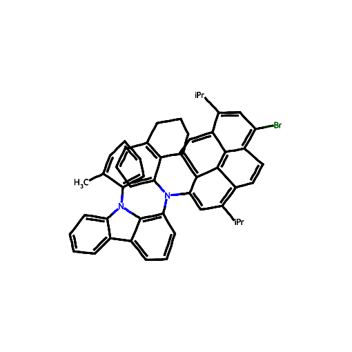 Cc1ccccc1-n1c2ccccc2c2cccc(N(c3cccc4c3CCCC4)c3cc(C(C)C)c4ccc5c(Br)cc(C(C)C)c6ccc3c4c56)c21